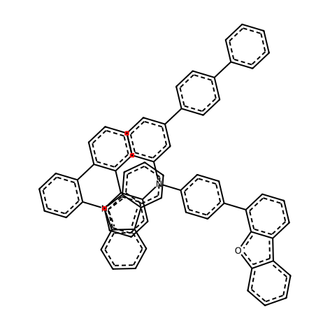 c1ccc(-c2ccc(-c3cccc(N(c4ccc(-c5cccc6c5oc5ccccc56)cc4)c4ccccc4-c4ccccc4-c4ccccc4-n4c5ccccc5c5ccccc54)c3)cc2)cc1